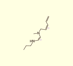 C=C/C=C\CN(C)/C=C\NCCC